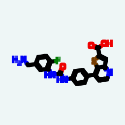 NCc1ccc(F)c(NC(=O)Nc2ccc(-c3ccnc4cc(C(=O)O)sc34)cc2)c1